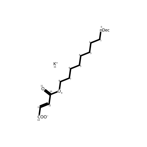 CCCCCCCCCCCCCCCCCCOC(=O)C=CC(=O)[O-].[K+]